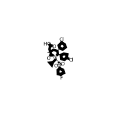 C[C@]1(CC(=O)O)C[C@H](c2cccc(Cl)c2)[C@@H](c2ccc(Cl)cc2)N([C@H](CS(=O)(=O)c2ccc(F)cc2)C2CC2)C1=O